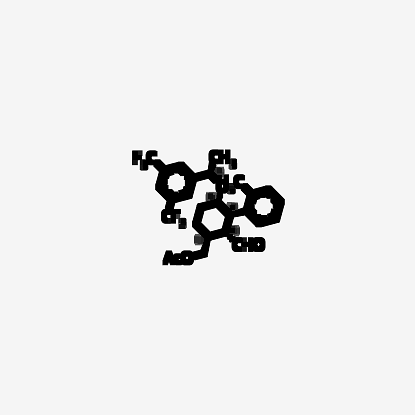 CC(=O)OC[C@H]1CC[C@H](O[C@H](C)c2cc(C(F)(F)F)cc(C(F)(F)F)c2)[C@@H](c2ccccc2C)[C@@H]1C=O